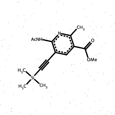 COC(=O)c1cc(C#C[Si](C)(C)C)c(NC(C)=O)nc1C